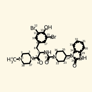 CN1CCN(C(=O)[C@@H](Cc2cc(Br)c(O)c(Br)c2)NC(=O)N2CCC(n3c(=O)[nH]c4ccccc43)CC2)CC1